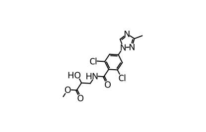 COC(=O)C(O)CNC(=O)c1c(Cl)cc(-n2cnc(C)n2)cc1Cl